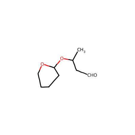 CC(CC=O)OC1CCCCO1